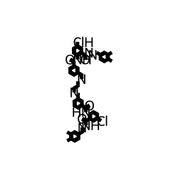 Cc1ccc(/C=N/NC(=O)c2cc(Cl)ccc2NC(=O)c2cccc(CN(C)CCCN(C)Cc3cccc(C(=O)Nc4ccc(Cl)cc4C(=O)N/N=C/c4ccc(C)c(C)c4)c3)c2)cc1C